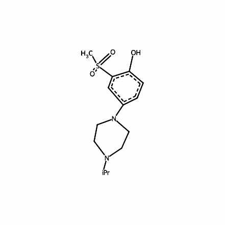 CC(C)N1CCN(c2ccc(O)c(S(C)(=O)=O)c2)CC1